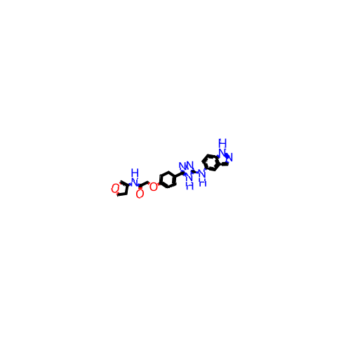 O=C(COC1=CC=C(c2nnc(Nc3ccc4[nH]ncc4c3)[nH]2)CC1)NC1CCOC1